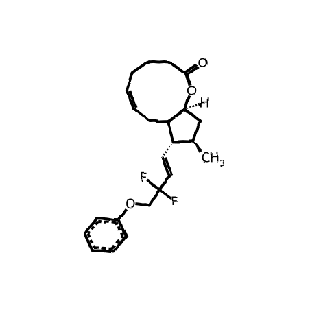 C[C@@H]1C[C@@H]2OC(=O)CCC/C=C\CC2[C@H]1/C=C/C(F)(F)COc1ccccc1